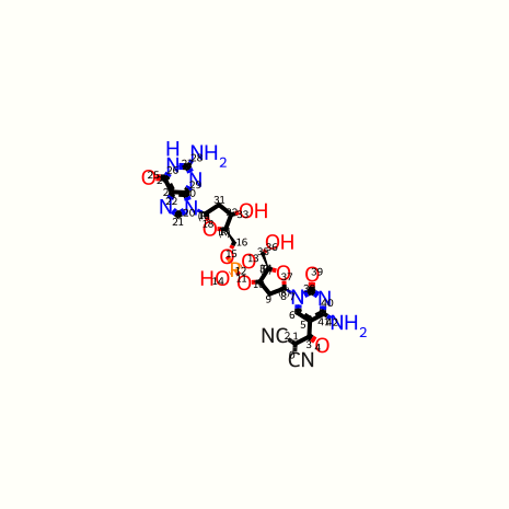 N#CC(C#N)C(=O)c1cn([C@H]2CC(OP(=O)(O)OC[C@H]3O[C@@H](n4cnc5c(=O)[nH]c(N)nc54)CC3O)[C@@H](CO)O2)c(=O)nc1N